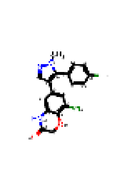 Cn1ncc(-c2cc(Cl)c3c(c2)NC(=O)CO3)c1-c1ccc(F)cc1